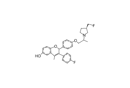 CC1=C(c2ccc(F)cc2)C(c2ccc(OCC(C)N3CC[C@@H](CF)C3)cc2)Oc2ccc(O)cc21